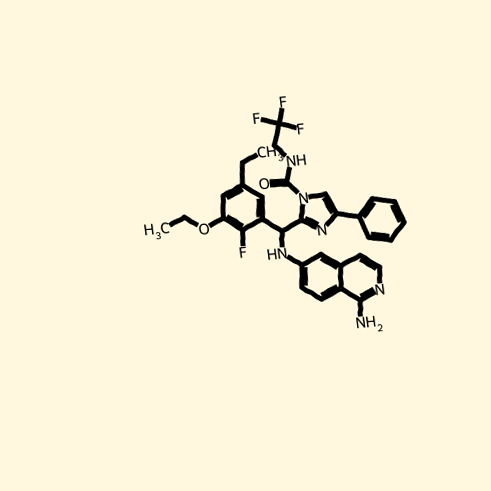 CCOc1cc(CC)cc(C(Nc2ccc3c(N)nccc3c2)c2nc(-c3ccccc3)cn2C(=O)NCC(F)(F)F)c1F